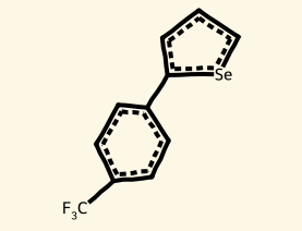 FC(F)(F)c1ccc(-c2ccc[se]2)cc1